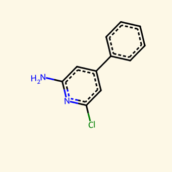 Nc1cc(-c2ccccc2)cc(Cl)n1